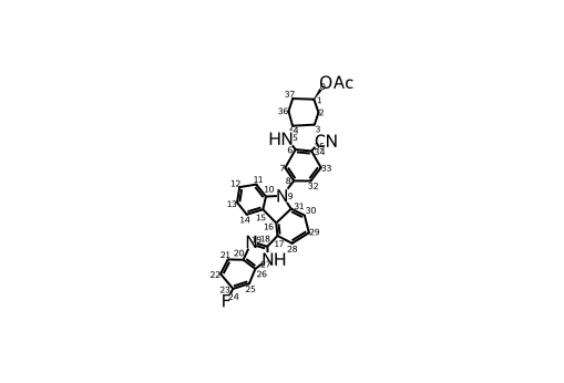 CC(=O)O[C@H]1CC[C@H](Nc2cc(-n3c4ccccc4c4c(-c5nc6ccc(F)cc6[nH]5)cccc43)ccc2C#N)CC1